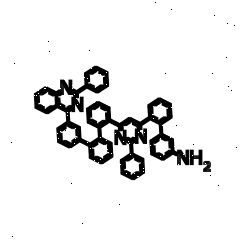 Nc1cccc(-c2ccccc2-c2cc(-c3ccccc3-c3ccccc3-c3cccc(-c4nc(-c5ccccc5)nc5ccccc45)c3)nc(-c3ccccc3)n2)c1